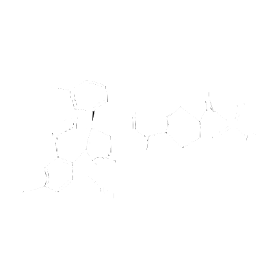 CC(C)S(=O)(=O)NC1CCC(NC(=O)[C@@H]2N[C@H](CC(C)(C)C)[C@]3(C(=O)Nc4cc(Cl)ccc43)[C@H]2c2cccc(Cl)c2F)CC1